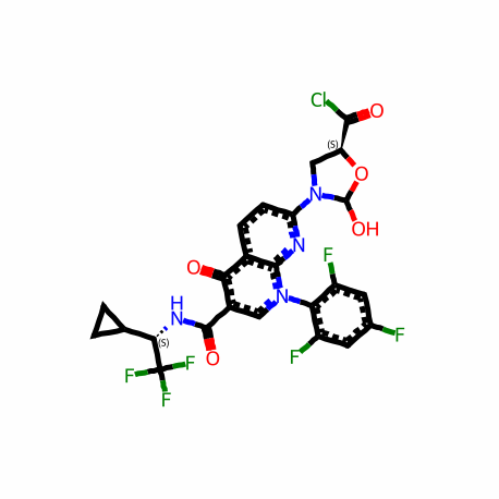 O=C(N[C@@H](C1CC1)C(F)(F)F)c1cn(-c2c(F)cc(F)cc2F)c2nc(N3C[C@@H](C(=O)Cl)OC3O)ccc2c1=O